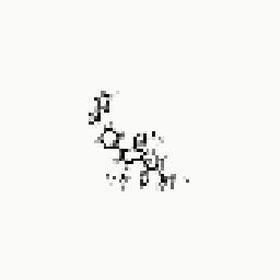 Cc1cc(C2CCN(C(=O)c3ncco3)CC2)c(C)cc1C(=O)NC(=N)N